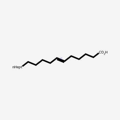 CCCCCCCCCCC/C=C/CCCCC(=O)O